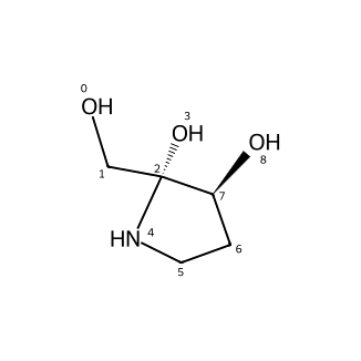 OC[C@]1(O)NCC[C@@H]1O